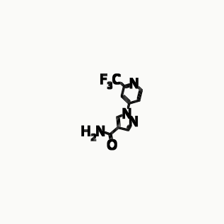 NC(=O)c1cnn(-c2ccnc(C(F)(F)F)c2)c1